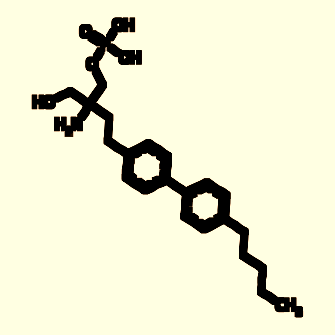 CCCCCc1ccc(-c2ccc(CCC(N)(CO)COP(=O)(O)O)cc2)cc1